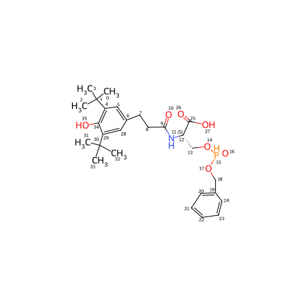 CC(C)(C)c1cc(CCC(=O)N[C@@H](CO[PH](=O)OCc2ccccc2)C(=O)O)cc(C(C)(C)C)c1O